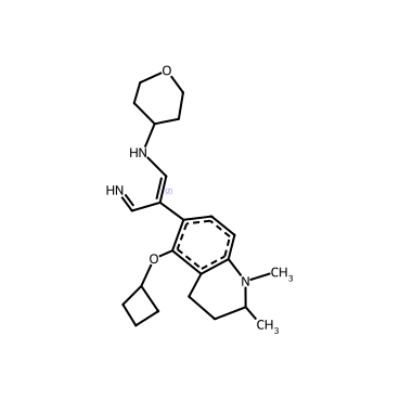 CC1CCc2c(ccc(/C(C=N)=C/NC3CCOCC3)c2OC2CCC2)N1C